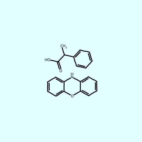 CC(C(=O)O)c1ccccc1.c1ccc2c(c1)Nc1ccccc1O2